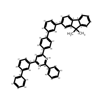 CC1(C)c2ccccc2-c2ccc(-c3cccc(-c4ccc(-c5cc(-c6cccc(-c7ccccc7)c6)nc(-c6ccccc6)n5)cc4)c3)cc21